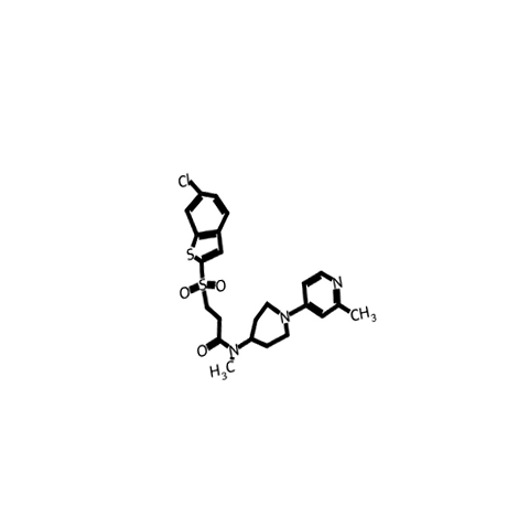 Cc1cc(N2CCC(N(C)C(=O)CCS(=O)(=O)c3cc4ccc(Cl)cc4s3)CC2)ccn1